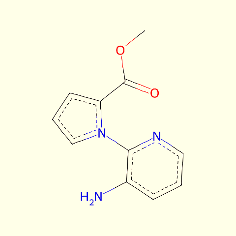 COC(=O)c1cccn1-c1ncccc1N